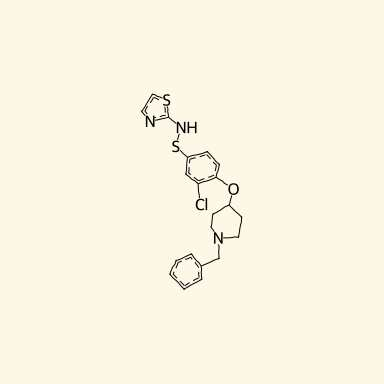 Clc1cc(SNc2nccs2)ccc1OC1CCN(Cc2ccccc2)CC1